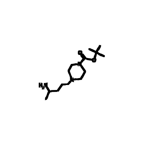 CC(N)CCCN1CCN(C(=O)OC(C)(C)C)CC1